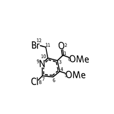 COC(=O)c1c(OC)cc(Cl)nc1CBr